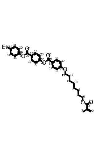 C=C(C)C(=O)OCCCCCCCCOc1ccc(C(=O)Oc2ccc(C(=O)Oc3ccc(CC)cc3)cc2)cc1